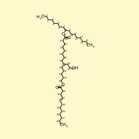 CCCCCCCCC(CCCCCCCC)OC(=O)CCCCCCCN(CCO)CCCCCOC(=O)CCCSCCCCCCC